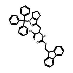 O=C(NC(Cc1nn(C(c2ccccc2)(c2ccccc2)c2ccccc2)c2c1CCC2)C(=O)O)OCC1c2ccccc2-c2ccccc21